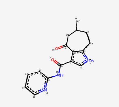 CC(C)C1CCc2[nH]cc(C(=O)Nc3ccccn3)c2C(=O)C1